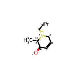 CC(C)C[SH]1CC=CC(=O)[C@H]1C